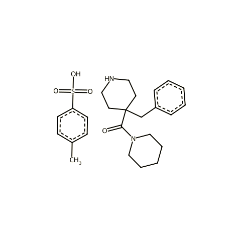 Cc1ccc(S(=O)(=O)O)cc1.O=C(N1CCCCC1)C1(Cc2ccccc2)CCNCC1